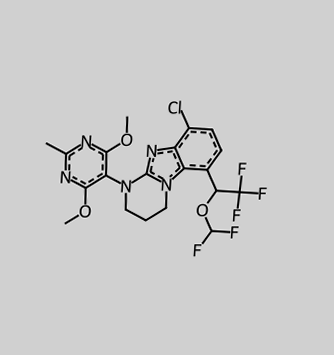 COc1nc(C)nc(OC)c1N1CCCn2c1nc1c(Cl)ccc(C(OC(F)F)C(F)(F)F)c12